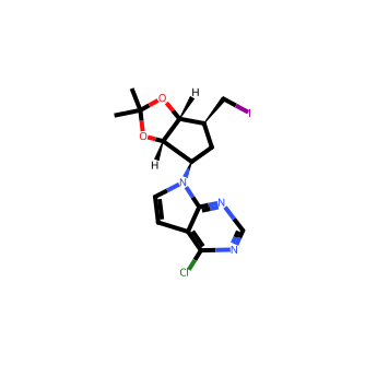 CC1(C)O[C@@H]2[C@@H](CI)C[C@@H](n3ccc4c(Cl)ncnc43)[C@@H]2O1